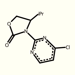 CC(C)C1COC(=O)N1c1nccc(Cl)n1